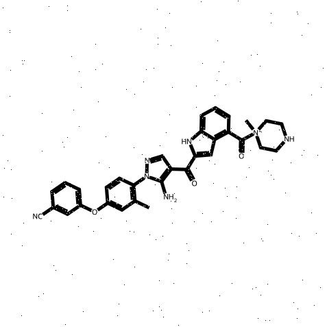 Cc1cc(Oc2cccc(C#N)c2)ccc1-n1ncc(C(=O)c2cc3c(C(=O)[N+]4(C)CCNCC4)cccc3[nH]2)c1N